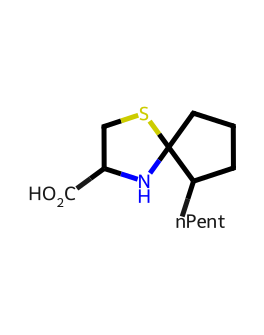 CCCCCC1CCCC12NC(C(=O)O)CS2